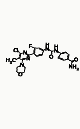 Cc1c(Cl)nc(-c2ccc(NC(=O)Nc3ccc(C(N)=O)cc3)cc2F)nc1N1CCOCC1